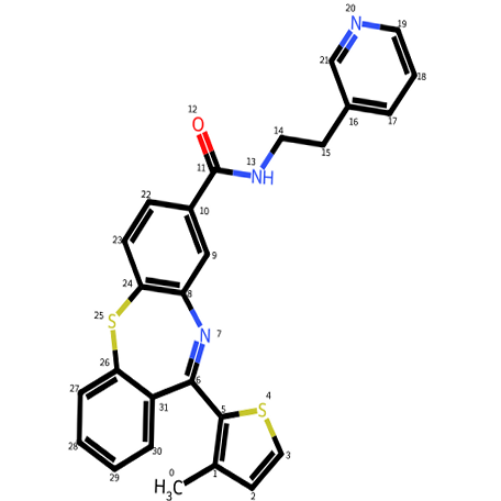 Cc1ccsc1C1=Nc2cc(C(=O)NCCc3cccnc3)ccc2Sc2ccccc21